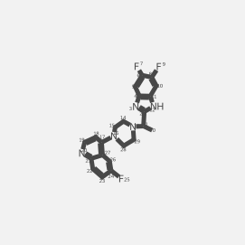 CC(c1nc2cc(F)c(F)cc2[nH]1)N1CCN(c2ccnc3ccc(F)cc23)CC1